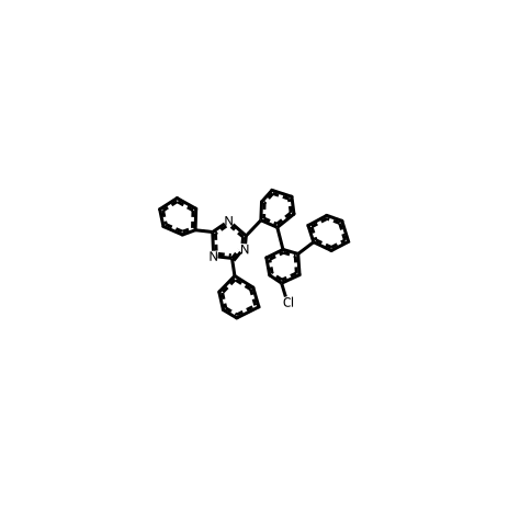 Clc1ccc(-c2ccccc2-c2nc(-c3ccccc3)nc(-c3ccccc3)n2)c(-c2ccccc2)c1